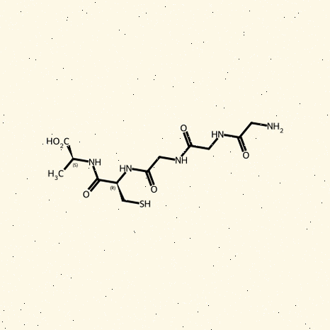 C[C@H](NC(=O)[C@H](CS)NC(=O)CNC(=O)CNC(=O)CN)C(=O)O